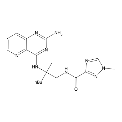 CCCCC(C)(CNC(=O)c1ncn(C)n1)Nc1nc(N)nc2cccnc12